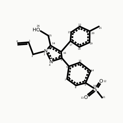 C=CCn1nc(-c2ccc(S(C)(=O)=O)cc2)c(-c2ccc(C)cc2)c1CO